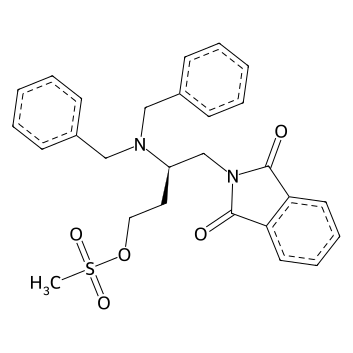 CS(=O)(=O)OCC[C@H](CN1C(=O)c2ccccc2C1=O)N(Cc1ccccc1)Cc1ccccc1